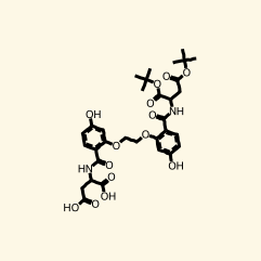 CC(C)(C)OC(=O)CC(NC(=O)c1ccc(O)cc1OCCOc1cc(O)ccc1C(=O)NC(CC(=O)O)C(=O)O)C(=O)OC(C)(C)C